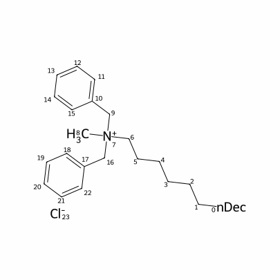 CCCCCCCCCCCCCCCC[N+](C)(Cc1ccccc1)Cc1ccccc1.[Cl-]